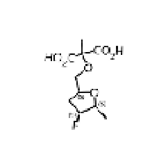 C[C@@H]1O[C@H](COC(C)(C(=O)O)C(=O)O)C[C@@H]1F